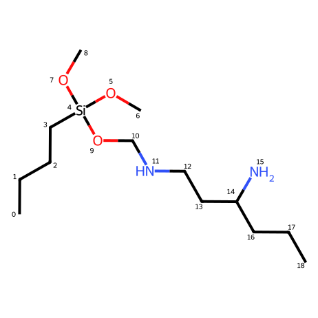 CCCC[Si](OC)(OC)OCNCCC(N)CCC